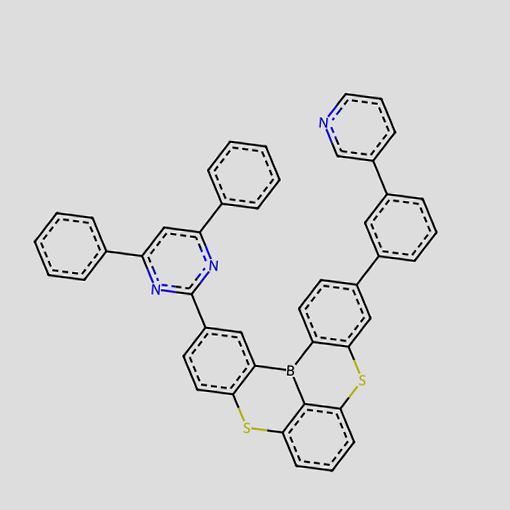 c1ccc(-c2cc(-c3ccccc3)nc(-c3ccc4c(c3)B3c5ccc(-c6cccc(-c7cccnc7)c6)cc5Sc5cccc(c53)S4)n2)cc1